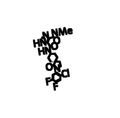 CNC(=O)c1nc[nH]c1C(=O)N[C@H]1CC[C@@]2(CCN(c3cc(F)c(F)cc3Cl)C2=O)CC1